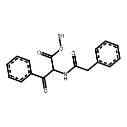 O=C(Cc1ccccc1)NC(C(=O)OS)C(=O)c1ccccc1